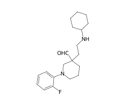 O=CC1(CCNC2CCCCC2)CCCN(c2ccccc2F)C1